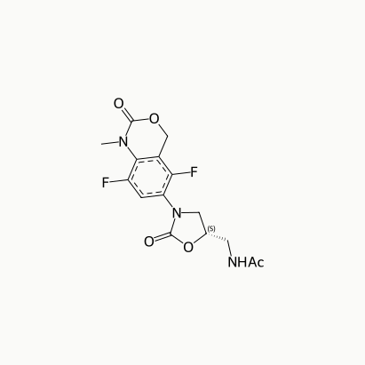 CC(=O)NC[C@H]1CN(c2cc(F)c3c(c2F)COC(=O)N3C)C(=O)O1